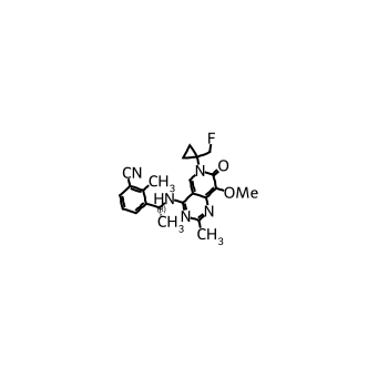 COc1c(=O)n(C2(CF)CC2)cc2c(N[C@H](C)c3cccc(C#N)c3C)nc(C)nc12